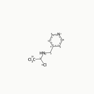 ClC(NCc1ccncc1)C(Cl)(Cl)Cl